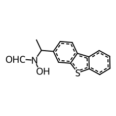 CC(c1ccc2c(c1)sc1ccccc12)N(O)C=O